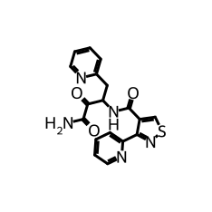 NC(=O)C(=O)C(Cc1ccccn1)NC(=O)c1csnc1-c1ccccn1